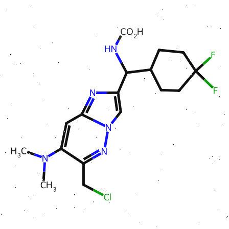 CN(C)c1cc2nc(C(NC(=O)O)C3CCC(F)(F)CC3)cn2nc1CCl